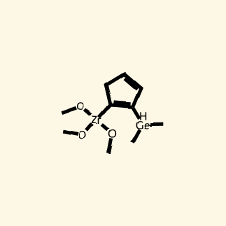 C[O][Zr]([O]C)([O]C)[C]1=[C]([GeH]([CH3])[CH3])C=CC1